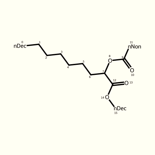 CCCCCCCCCCCCCCCCC(OC(=O)CCCCCCCCC)C(=O)OCCCCCCCCCC